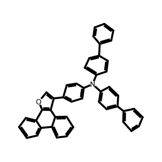 c1ccc(-c2ccc(N(c3ccc(-c4ccccc4)cc3)c3ccc(-c4coc5c6ccccc6c6ccccc6c45)cc3)cc2)cc1